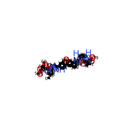 CC[C@H]1C[C@@H](c2ncc(-c3ccc4c(c3)COc3cc5c(ccc6nc([C@@H]7CC[C@H](C)N7C(=O)[C@@H](NC(=O)OC)C(C)C)[nH]c65)cc3-4)[nH]2)N(C(=O)C(NC(=O)OC)[C@@H](C)OC)C1